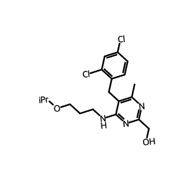 Cc1nc(CO)nc(NCCCOC(C)C)c1Cc1ccc(Cl)cc1Cl